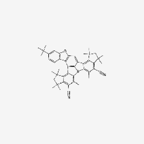 Cc1c(C#N)c2c(c3c4cc5oc6cc(C(C)(C)C)ccc6c5c5c6c7c(c(C#N)c(C)c6n(c13)c45)C(C)(C)CC7(C)C)C(C)(C)CC2(C)C